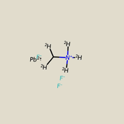 [2H]C([2H])[N+]([2H])([2H])[2H].[F-].[F-].[F-].[Pb+2]